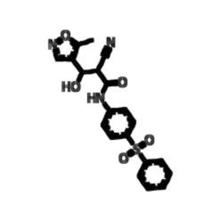 Cc1oncc1C(O)C(C#N)C(=O)Nc1ccc(S(=O)(=O)c2ccccc2)cc1